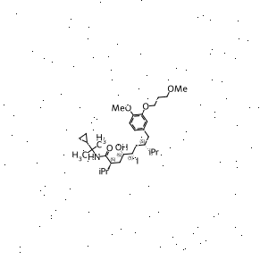 COCCCOc1cc(C[C@@H](C[C@H](I)[C@@H](O)C[C@H](C(=O)NC(C)(C)C2CC2)C(C)C)C(C)C)ccc1OC